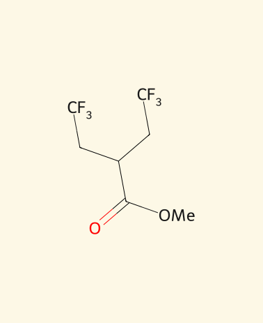 COC(=O)C(CC(F)(F)F)CC(F)(F)F